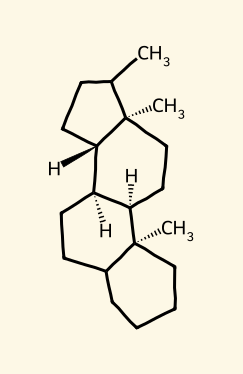 CC1CC[C@H]2[C@@H]3CCC4CCCC[C@]4(C)[C@@H]3CC[C@]12C